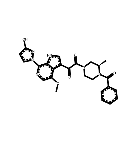 COc1cnc(-n2ccc(O)n2)c2[nH]cc(C(=O)C(=O)N3CCN(C(=O)c4ccccc4)[C@H](C)C3)c12